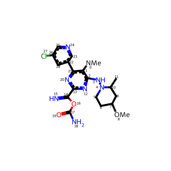 CNc1c(NN2CCC(OC)CC2C)nc(C(=N)OC(N)=O)nc1-c1cncc(Cl)c1